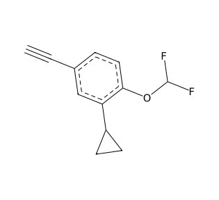 C#Cc1ccc(OC(F)F)c(C2CC2)c1